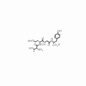 CSCC[C@H](NC(=O)[C@@H](N)[C@@H](C)O)C(=O)NCC(=O)N[C@@H](Cc1ccc(O)cc1)C(=O)O